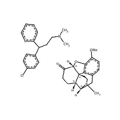 CN(C)CCC(c1ccc(Cl)cc1)c1ccccn1.COc1ccc2c3c1O[C@H]1C(=O)CC[C@H]4[C@@H](C2)N(C)CC[C@]314